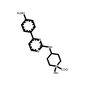 CC(=O)Nc1ccc(-c2ccnc(NC3CC[N+](C(=O)[O-])(C(C)(C)C)CC3)n2)cc1